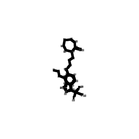 CCCc1c(OCCCN2CCCCCC2=O)ccc2c(C(F)(F)F)onc12